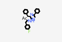 CC(=O)C(=Cc1ccc(F)cc1)Nc1ncc(-c2ccccc2)nc1Cc1ccccc1